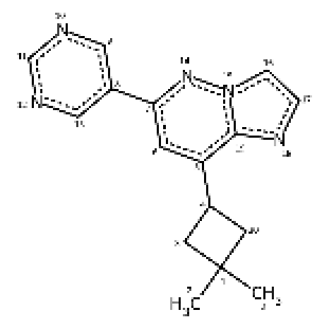 CC1(C)CC(c2cc(-c3cncnc3)nn3ccnc23)C1